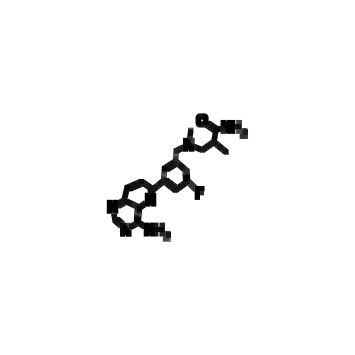 CC(CN(C)Cc1cc(F)cc(-c2ccc3ncnc(N)c3n2)c1)C(N)=O